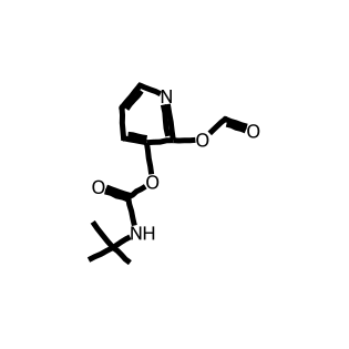 CC(C)(C)NC(=O)Oc1cccnc1OC=O